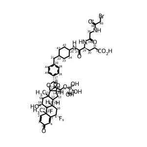 C[C@]12C=CC(=O)C=C1[C@@H](F)C[C@H]1[C@@H]3C[C@H]4O[C@@H](c5ccc(CC6CCC(NC(=O)[C@H](CCC(=O)O)NC(=O)CNC(=O)CBr)CC6)cc5)O[C@@]4(C(=O)CO[PH](O)(O)O)[C@@]3(C)C[C@H](O)[C@@]12F